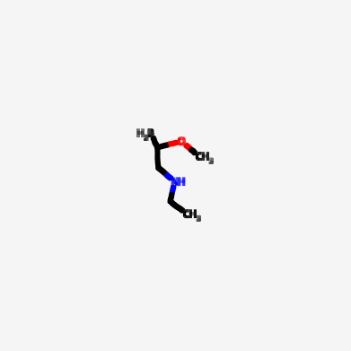 BC(CNCC)OC